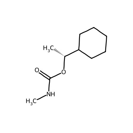 CNC(=O)O[C@H](C)C1CCCCC1